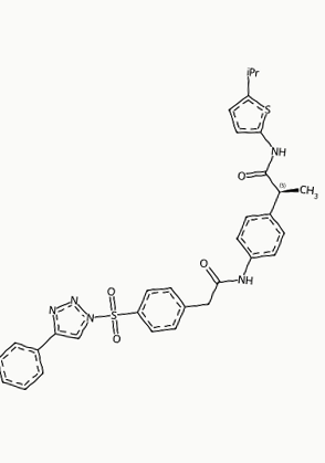 CC(C)c1ccc(NC(=O)[C@@H](C)c2ccc(NC(=O)Cc3ccc(S(=O)(=O)n4cc(-c5ccccc5)nn4)cc3)cc2)s1